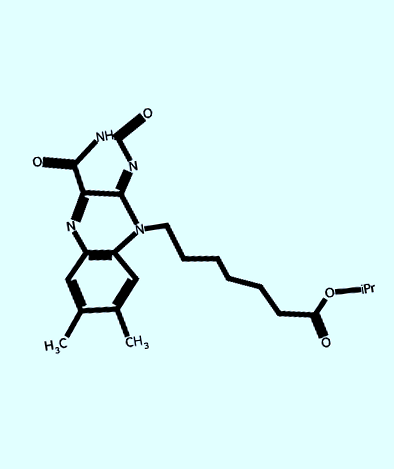 Cc1cc2nc3c(=O)[nH]c(=O)nc-3n(CCCCCCC(=O)OC(C)C)c2cc1C